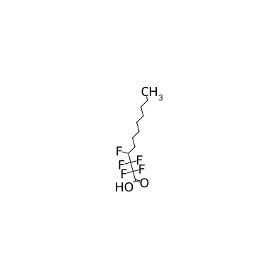 CCCCCCCCC(F)C(F)(F)C(F)(F)C(=O)O